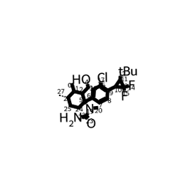 CC1C(CO)C(c2ccc(C3C(C(C)(C)C)C3(F)F)c(Cl)c2)(N(C)C(N)=O)CC[C@@H]1C